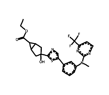 CCOC(=O)C1C2CC(O)(c3ncc(-c4cccc(N(C)c5nccc(C(F)(F)F)n5)c4)s3)CC21